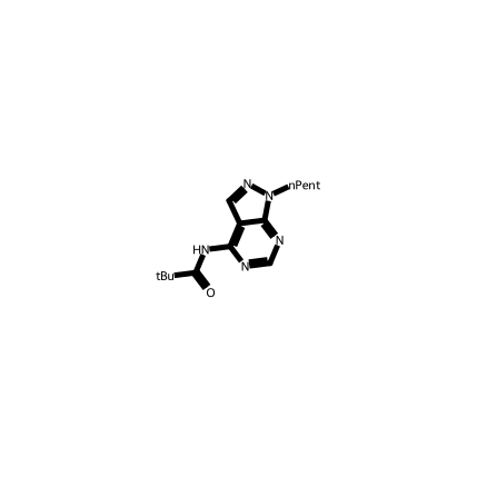 CCCCCn1ncc2c(NC(=O)C(C)(C)C)ncnc21